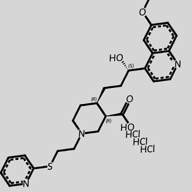 COc1ccc2nccc([C@@H](O)CC[C@@H]3CCN(CCSc4ccccn4)C[C@@H]3C(=O)O)c2c1.Cl.Cl.Cl